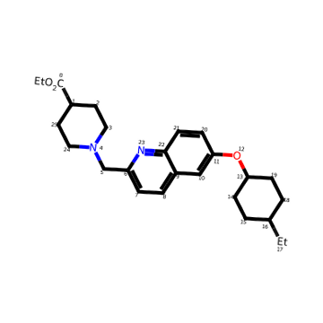 CCOC(=O)C1CCN(Cc2ccc3cc(OC4CCC(CC)CC4)ccc3n2)CC1